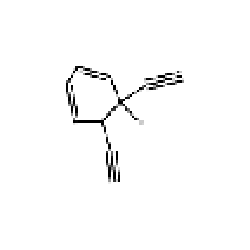 C#CC1C=CC=CC1(F)C#C